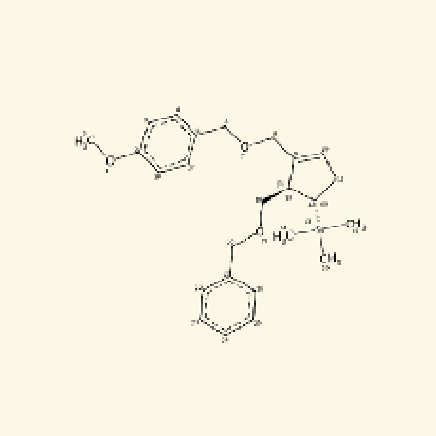 COc1ccc(COCC2=CC[C@H]([Si](C)(C)C)[C@H]2COCc2ccccc2)cc1